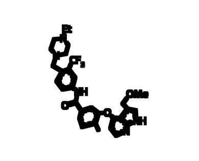 CCN1CCN(Cc2ccc(NC(=O)c3ccc(C)c(Oc4ccnc5[nH]cc(COC)c45)c3)cc2C(F)(F)F)CC1